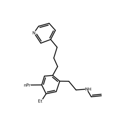 C=CNCCc1cc(CC)c(CCC)cc1CCCc1cccnc1